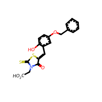 O=C(O)CN1C(=O)C(=Cc2cc(OCc3ccccc3)ccc2O)SC1=S